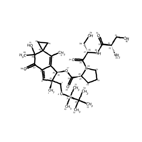 CC1=C2C(=C[C@@](C)(CO[Si](C)(C)C(C)(C)C)[C@@H]2OC(=O)[C@@H]2CCCN2C(=O)[C@H](CO)NC(=O)[C@@H](N)CO)C(=O)C(C)(O)C12CC2